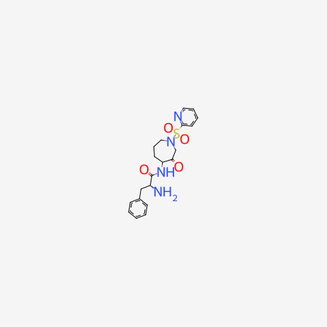 N[C@@H](Cc1ccccc1)C(=O)NC1CCCN(S(=O)(=O)c2ccccn2)CC1=O